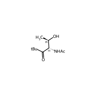 CC(=O)N[C@H](C(=O)C(C)(C)C)[C@@H](C)O